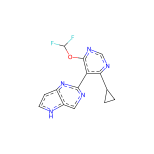 FC(F)Oc1ncnc(C2CC2)c1-c1ncc2[nH]ccc2n1